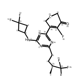 C[C@@H](CCc1nc(NC2CC(F)(F)C2)nc(C2=C(F)C(=O)CCC2)n1)C(F)(F)F